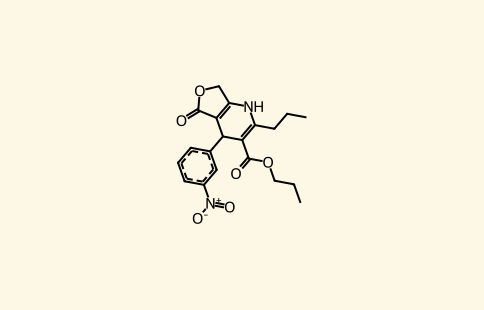 CCCOC(=O)C1=C(CCC)NC2=C(C(=O)OC2)C1c1cccc([N+](=O)[O-])c1